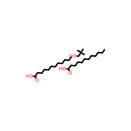 CC(C)(C)CO.CCCCCCCCCCCC(=O)O.CCCCCCCCCCCC(=O)O